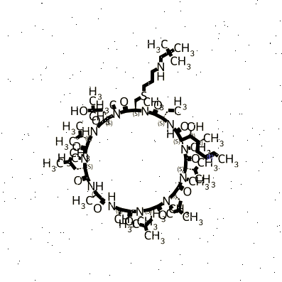 C/C=C/C[C@@H](C)[C@@H](O)[C@H]1C(=O)N[C@@H](CC)C(=O)N(C)[C@H](CSCCCNCC(C)(C)C)C(=O)N(C)[C@@H](CC(C)(C)O)C(=O)N[C@@H](C(C)C)C(=O)N(C)[C@@H](CC(C)C)C(=O)N[C@@H](C)C(=O)N[C@H](C)C(=O)N(C)[C@@H](CC(C)C)C(=O)N(C)[C@@H](CC(C)C)C(=O)N(C)[C@@H](C(C)C)C(=O)N1C